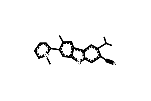 Cc1cc2c(cc1-c1cccc[n+]1C)oc1cc(C#N)c(C(C)C)cc12